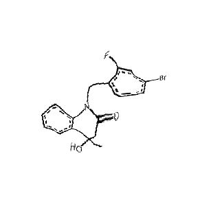 CC1(O)C(=O)N(Cc2ccc(Br)cc2F)c2ccccc21